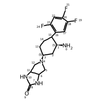 N[C@H]1C[C@@H](N2CC3NC(=O)NC3C2)CCC1c1cc(F)c(F)cc1F